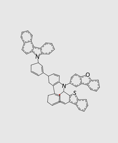 C1=CCCC(C2=C(N(c3ccc4oc5ccccc5c4c3)C3CC=Cc4c3sc3ccccc43)C=CC(C3=CC(n4c5ccccc5c5c6ccccc6ccc54)CC=C3)C2)=C1